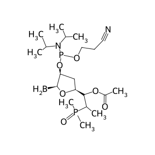 B[C@@H]1O[C@H](C(OC(C)=O)C(C)P(C)(C)=O)C[C@@H]1OP(OCCC#N)N(C(C)C)C(C)C